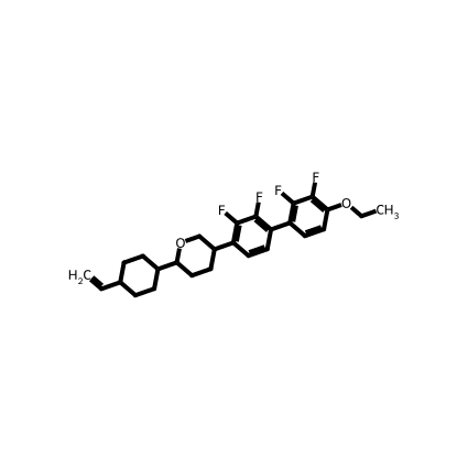 C=CC1CCC(C2CCC(c3ccc(-c4ccc(OCC)c(F)c4F)c(F)c3F)CO2)CC1